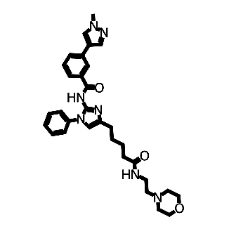 Cn1cc(-c2cccc(C(=O)Nc3nc(CCCCC(=O)NCCN4CCOCC4)cn3-c3ccccc3)c2)cn1